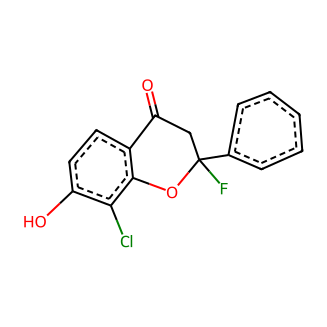 O=C1CC(F)(c2ccccc2)Oc2c1ccc(O)c2Cl